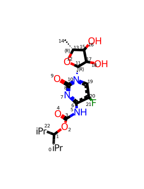 CC(C)C(OC(=O)Nc1nc(=O)n([C@@H]2O[C@H](C)C(O)C2O)cc1F)C(C)C